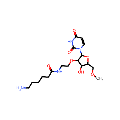 COCC1OC(n2ccc(=O)[nH]c2=O)C(OCCNC(=O)CCCCCN)C1O